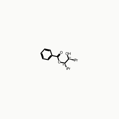 CC(C)[C@@H](OC(=O)c1ccccc1)[C@@H](O)C(C)C